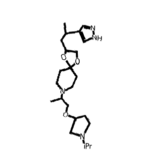 CC(CC1COC2(CCN(C(C)COC3CCN(C(C)C)C3)CC2)O1)c1cn[nH]c1